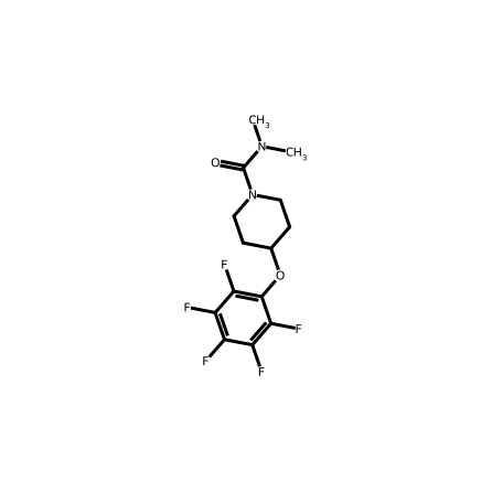 CN(C)C(=O)N1CCC(Oc2c(F)c(F)c(F)c(F)c2F)CC1